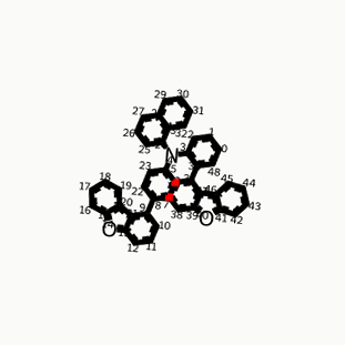 c1ccc(N(c2ccc(-c3cccc4oc5ccccc5c34)cc2)c2cccc3ccccc23)c(-c2cccc3oc4ccccc4c23)c1